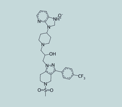 CS(=O)(=O)N1CCc2c(c(-c3ccc(C(F)(F)F)cc3)nn2CC(O)CN2CCC(N3C[NH+]([O-])c4cccnc43)CC2)C1